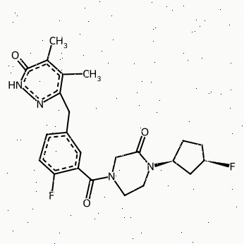 Cc1c(Cc2ccc(F)c(C(=O)N3CCN([C@H]4CC[C@@H](F)C4)C(=O)C3)c2)n[nH]c(=O)c1C